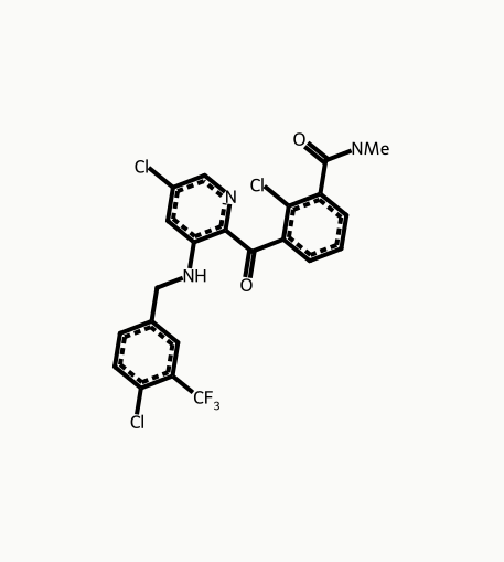 CNC(=O)c1cccc(C(=O)c2ncc(Cl)cc2NCc2ccc(Cl)c(C(F)(F)F)c2)c1Cl